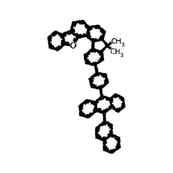 CC1(C)c2cc(-c3ccc(-c4c5ccccc5c(-c5ccc6ccccc6c5)c5ccccc45)cc3)ccc2-c2c1ccc1ccc3c4ccccc4oc3c21